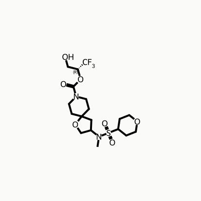 CN(C1COC2(CCN(C(=O)O[C@H](CO)C(F)(F)F)CC2)C1)S(=O)(=O)C1CCOCC1